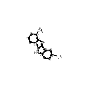 Cc1ccc2[nH]c3c(nc4c(C)cccn43)c2c1